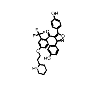 O=C(c1ccc(OCCC2CCCCN2)cc1C(F)(F)F)c1c(-c2ccc(O)cc2)noc1-c1ccc(O)cc1